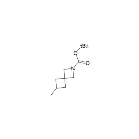 CC1CC2(C1)CN(C(=O)OC(C)(C)C)C2